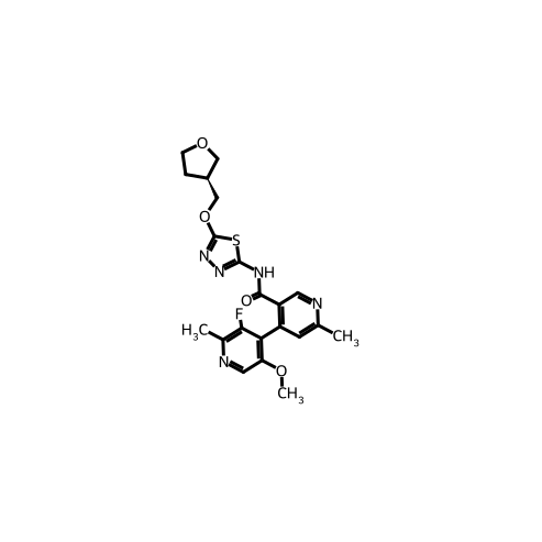 COc1cnc(C)c(F)c1-c1cc(C)ncc1C(=O)Nc1nnc(OC[C@H]2CCOC2)s1